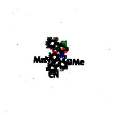 CN[C@H]1CC[C@@H](N(Cc2cc(-c3cccc(C#N)c3)ccc2OC)C(=O)c2oc3ccccc3c2Cl)CC1